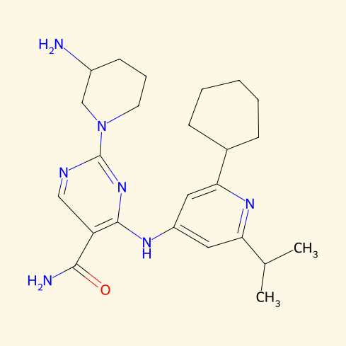 CC(C)c1cc(Nc2nc(N3CCCC(N)C3)ncc2C(N)=O)cc(C2CCCCC2)n1